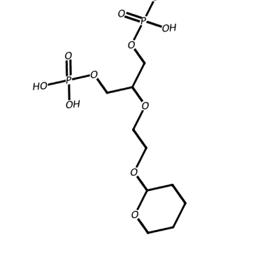 O=P(O)(O)OCC(COP(=O)(O)O)OCCOC1CCCCO1